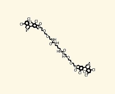 CN1Cc2c(Cl)cc(Cl)cc2C(c2cc3c(c(Cl)c2Cl)C(=O)N(CCOCCOCCNC(=O)NCCCCNC(=O)NCCOCCOCCN2Cc4cc(C5CN(C)Cc6c(Cl)cc(Cl)cc65)c(Cl)c(Cl)c4C2=O)C3)C1